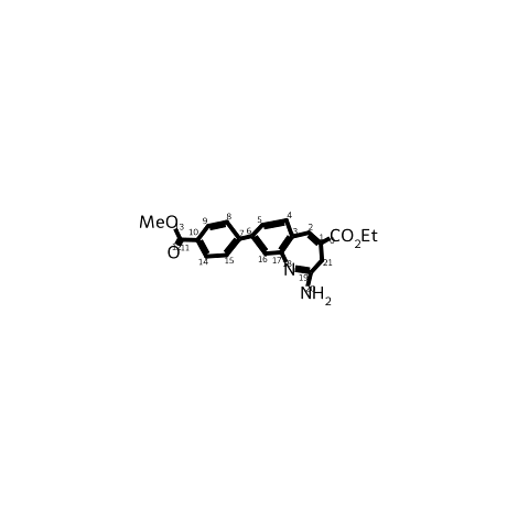 CCOC(=O)C1=Cc2ccc(-c3ccc(C(=O)OC)cc3)cc2N=C(N)C1